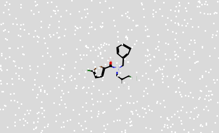 CC(=O)O[C@H](CCl)CN(Cc1ccccc1)C(=O)c1ccc(Cl)s1